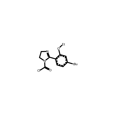 CCOc1cc(C(C)(C)C)ccc1C1=NCCN1C(=O)Cl